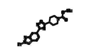 CCn1cc2ccc(-c3noc(C4CCN(C(=O)OC(C)(C)C)CC4)n3)cc2n1